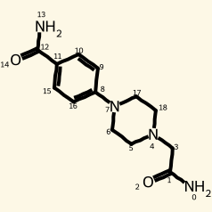 NC(=O)CN1CCN(c2ccc(C(N)=O)cc2)CC1